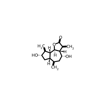 C=C1C(=O)O[C@@H]2[C@H]3C(=C)[C@@H](O)C[C@H]3C(=C)C[C@@H](O)[C@@H]12